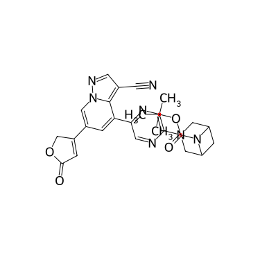 CC(C)(C)OC(=O)N1C2CC1CN(c1cnc(-c3cc(C4=CC(=O)OC4)cn4ncc(C#N)c34)cn1)C2